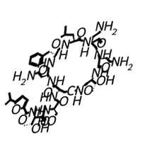 CC(C)C[C@@H]1NC(=O)[C@@H](Cc2ccccc2)NC(=O)[C@H](CCN)NC(=O)[C@@H](NC(=O)[C@@H](CO)NC(=O)[C@@H](NC(=O)c2ccc(C(C)C)o2)[C@@H](C)O)CCNC(=O)[C@H]([C@@H](C)O)NC(=O)[C@H](CCN)NC[C@](C=O)(CCN)NC1=O